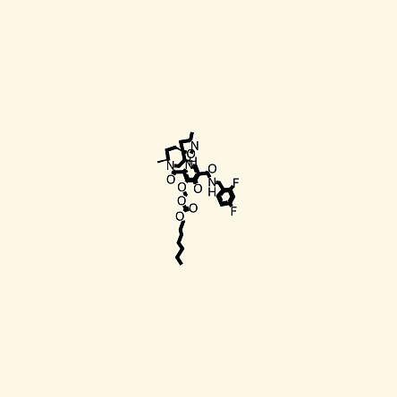 CCCCCCCOC(=O)OCOc1c2n(cc(C(=O)NCc3ccc(F)cc3F)c1=O)[C@@H]1CN(C2=O)[C@@H](C)CC[C@]12CC(C)=NO2